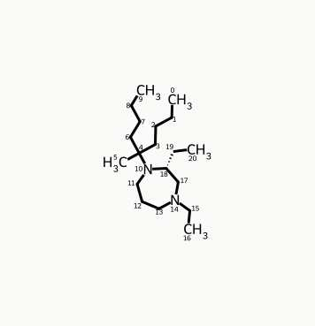 CCCCC(C)(CCCC)N1CCCN(CC)C[C@H]1CC